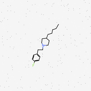 CCCCCC1CCN(CCc2ccc(F)cc2)CC1